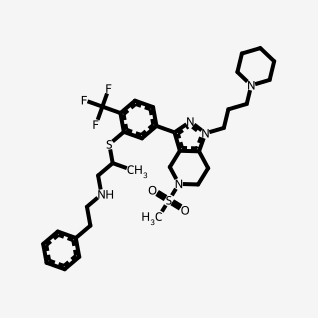 CC(CNCCc1ccccc1)Sc1cc(-c2nn(CCCN3CCCCC3)c3c2CN(S(C)(=O)=O)CC3)ccc1C(F)(F)F